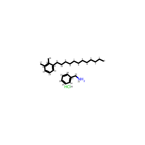 CCCCCCCCCCCCc1cccc(C)c1C.Cl.NCc1ccccc1